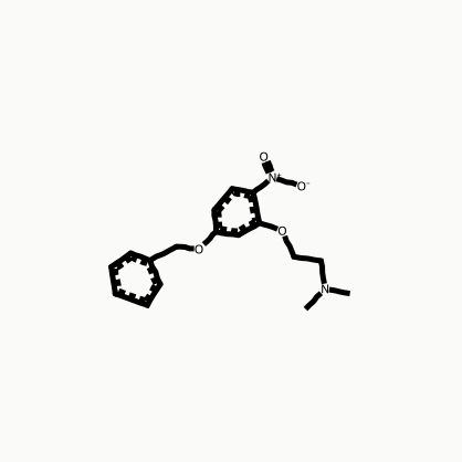 CN(C)CCOc1cc(OCc2ccccc2)ccc1[N+](=O)[O-]